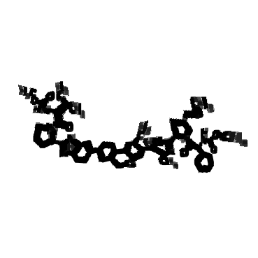 COC[C@H]1C[C@@H](c2nc(C)c(-c3cc4c(cc3C)-c3ccc(-c5ccc6nc([C@@H]7CCCN7C(=O)[C@@H](NC(=O)OC)C(C)C)[nH]c6c5)cc3CO4)[nH]2)N(C(=O)[C@H](NC(=O)OC)c2ccccc2)C1